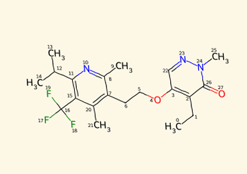 CCc1c(OCCc2c(C)nc(C(C)C)c(C(F)(F)F)c2C)cnn(C)c1=O